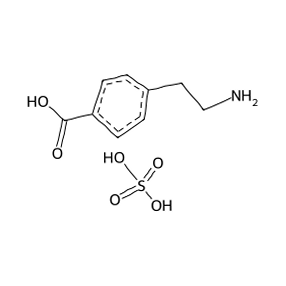 NCCc1ccc(C(=O)O)cc1.O=S(=O)(O)O